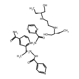 CC[C@@H](CO)NCCN[C@@H](CC)CO.CCc1cc(C(N)=S)ccn1.NC(=O)c1cnccn1.NNC(=O)c1ccncc1